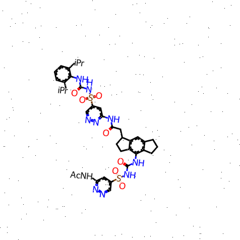 CC(=O)Nc1cc(S(=O)(=O)NC(=O)Nc2c3c(cc4c2CCC4CC(=O)Nc2cc(S(=O)(=O)NC(=O)Nc4c(C(C)C)cccc4C(C)C)cnn2)CCC3)cnn1